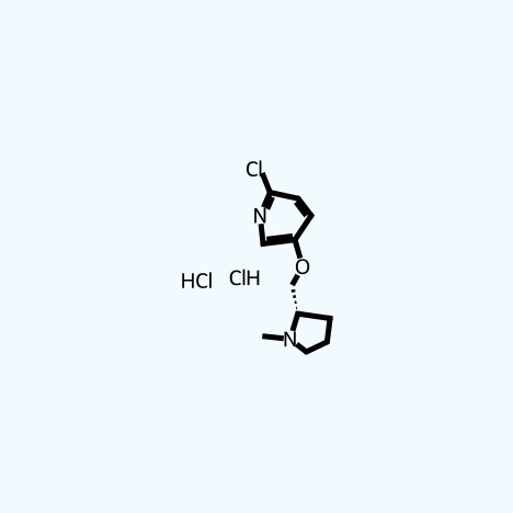 CN1CCC[C@H]1COc1ccc(Cl)nc1.Cl.Cl